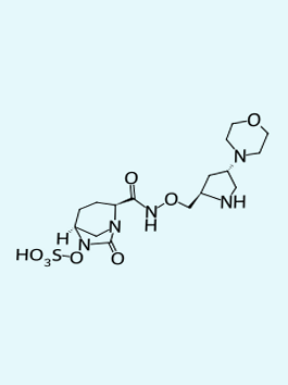 O=C(NOC[C@H]1C[C@H](N2CCOCC2)CN1)[C@@H]1CC[C@H]2CN1C(=O)N2OS(=O)(=O)O